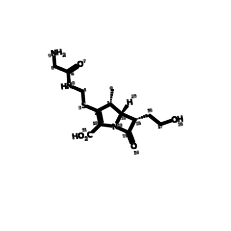 C[C@H]1C(SCNC(=O)CN)=C(C(=O)O)N2C(=O)[C@@H](CCO)[C@@H]12